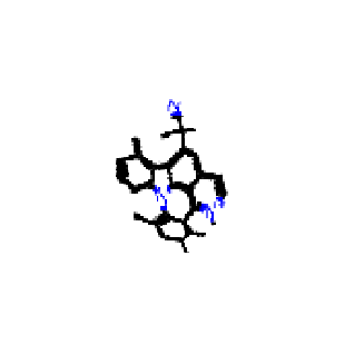 Cc1cc(C)c2c(c1C)c1c3c(cc[n+]1C)cc(C(C)(C)C#N)c1c4c(C)cccc4n2c13